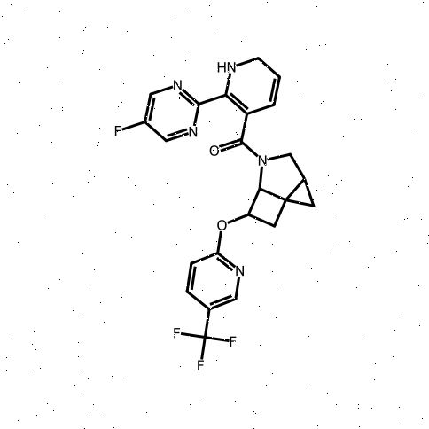 O=C(C1=C(c2ncc(F)cn2)NCC=C1)N1CC2CC23CC(Oc2ccc(C(F)(F)F)cn2)C13